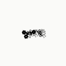 Cc1[nH]c2c(C3=CCCCC3)c(-c3ccccc3)nn2c(=O)c1-c1ccc(OCOP(=O)(OC(C)(C)C)C(C)(C)C)cc1